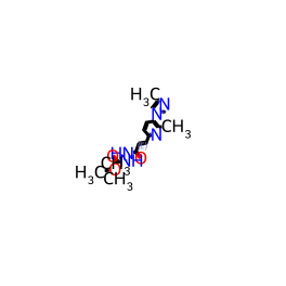 Cc1cn(-c2ccc(/C=C/C(=O)NNC(=O)OC(C)(C)C)nc2C)cn1